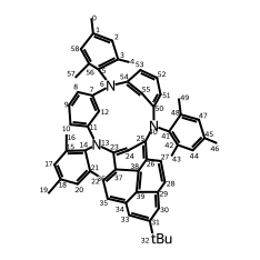 Cc1cc(C)c(N2c3cccc(c3)N(c3c(C)cc(C)cc3C)c3cc(c4ccc5cc(C(C)(C)C)cc6ccc3c4c65)N(c3c(C)cc(C)cc3C)c3cccc2c3)c(C)c1